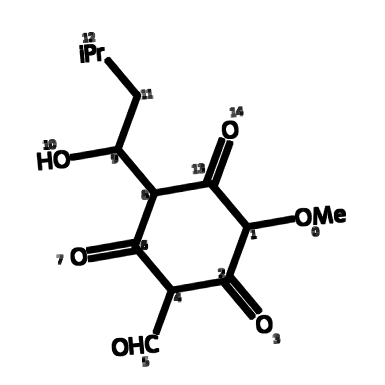 COC1C(=O)C(C=O)C(=O)C(C(O)CC(C)C)C1=O